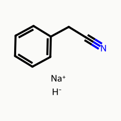 N#CCc1ccccc1.[H-].[Na+]